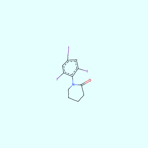 O=C1CCCCN1c1c(I)[c]c(I)cc1I